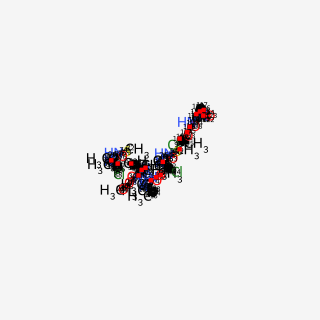 COCC(=O)NC1CCC(Cc2ccccc2C)(N(C)C)CC1.COCCOCC(=O)NC1CCC(Cc2ccc(C)cc2)(N(C)C)CC1.CSCC(=O)NC1CCC(Cc2ccc(Cl)cc2)(N(C)C)CC1.CSCC(=O)NC1CCC(Cc2cccc(Cl)c2)(N(C)C)CC1.Cc1cc(Cl)ccc1OCCCC(=O)NC1CCC(c2ccccc2)(N2CCOCC2)CC1